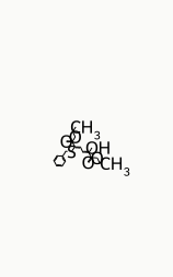 CCOC(=O)/C(O)=C/C=C(\SCc1ccccc1)C(=O)OCC